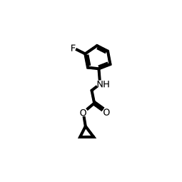 O=C(CNc1cccc(F)c1)OC1CC1